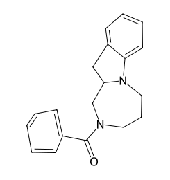 O=C(c1ccccc1)N1CCCN2c3ccccc3CC2C1